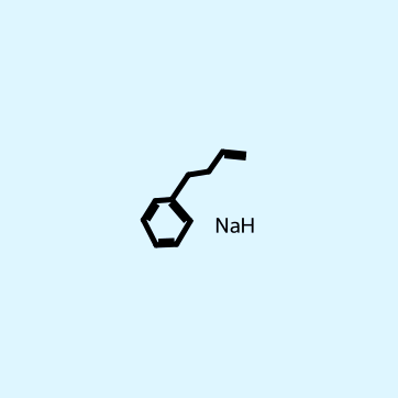 C=CCCc1ccccc1.[NaH]